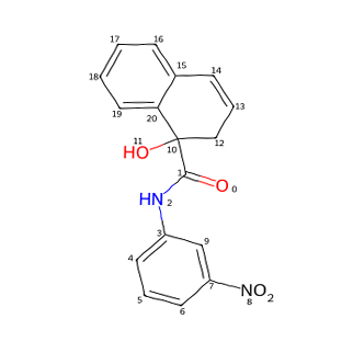 O=C(Nc1cccc([N+](=O)[O-])c1)C1(O)CC=Cc2ccccc21